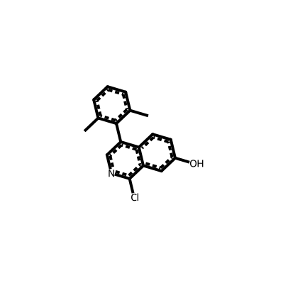 Cc1cccc(C)c1-c1cnc(Cl)c2cc(O)ccc12